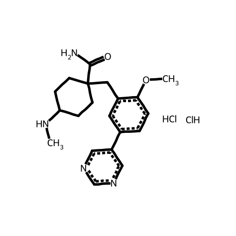 CNC1CCC(Cc2cc(-c3cncnc3)ccc2OC)(C(N)=O)CC1.Cl.Cl